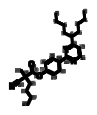 CCCCC(CCCC)c1ccnc(-c2ccc(OC(=O)C(C)(C#N)CCCC)cc2)n1